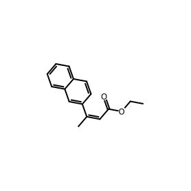 CCOC(=O)/C=C(/C)c1ccc2ccccc2c1